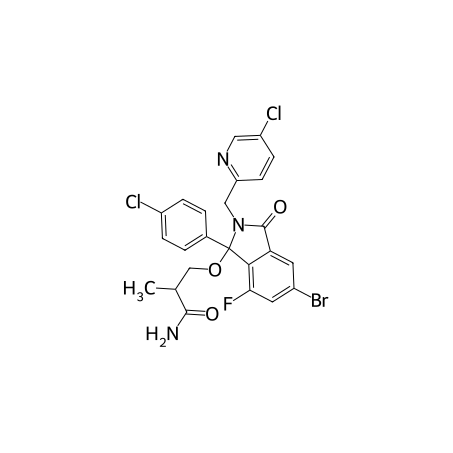 CC(COC1(c2ccc(Cl)cc2)c2c(F)cc(Br)cc2C(=O)N1Cc1ccc(Cl)cn1)C(N)=O